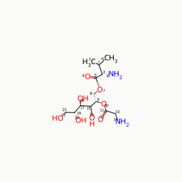 CC(C)[C@H](N)C(=O)OC[C@H](OC(=O)CN)[C@@H](O)[C@H](O)[C@H](O)CO